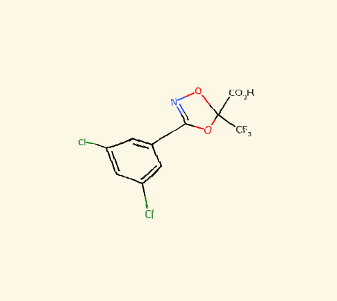 O=C(O)C1(C(F)(F)F)ON=C(c2cc(Cl)cc(Cl)c2)O1